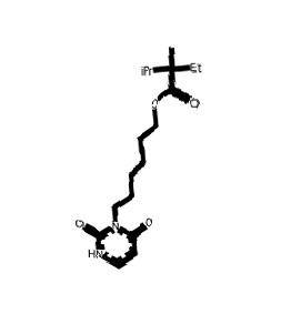 CCC(C)(C(=O)OCCCCCCn1c(=O)cc[nH]c1=O)C(C)C